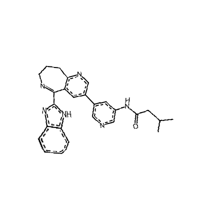 CC(C)CC(=O)Nc1cncc(-c2cnc3c(c2)C(c2nc4ccccc4[nH]2)=NCCC3)c1